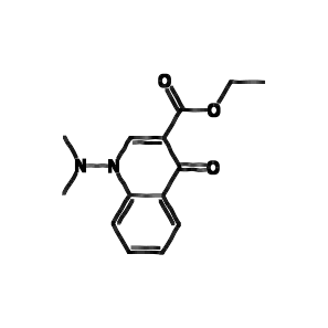 CCOC(=O)c1cn(N(C)C)c2ccccc2c1=O